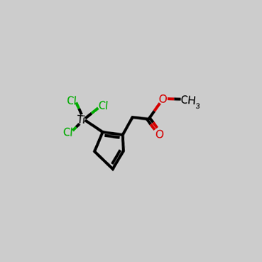 COC(=O)CC1=[C]([Ti]([Cl])([Cl])[Cl])CC=C1